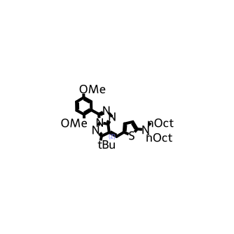 CCCCCCCCN(CCCCCCCC)c1ccc(/C=c2/c(C(C)(C)C)nn3c(-c4cc(OC)ccc4OC)nnc23)s1